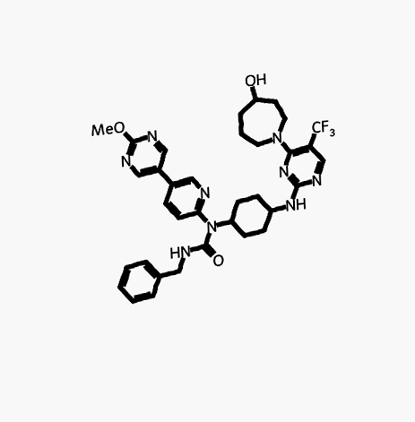 COc1ncc(-c2ccc(N(C(=O)NCc3ccccc3)C3CCC(Nc4ncc(C(F)(F)F)c(N5CCCC(O)CC5)n4)CC3)nc2)cn1